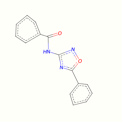 O=C(Nc1noc(-c2ccccc2)n1)c1ccccc1